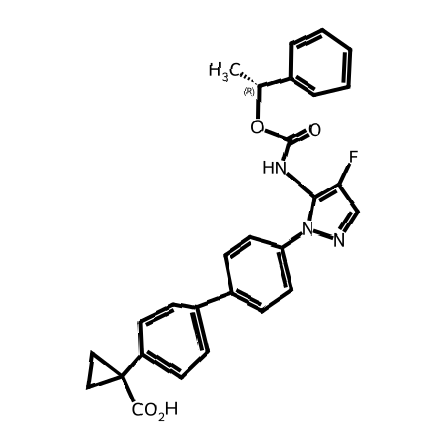 C[C@@H](OC(=O)Nc1c(F)cnn1-c1ccc(-c2ccc(C3(C(=O)O)CC3)cc2)cc1)c1ccccc1